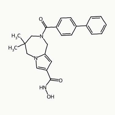 CC1(C)CN(C(=O)c2ccc(-c3ccccc3)cc2)Cc2cc(C(=O)NO)cn2C1